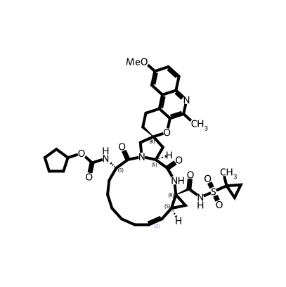 COc1ccc2nc(C)c3c(c2c1)CC[C@]1(C[C@H]2C(=O)N[C@]4(C(=O)NS(=O)(=O)C5(C)CC5)C[C@H]4/C=C\CCCCC[C@H](NC(=O)OC4CCCC4)C(=O)N2C1)O3